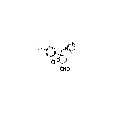 O=CC1CCC(Cn2cncn2)(c2ccc(Cl)cc2Cl)O1